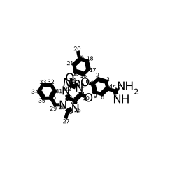 COc1ccc(C(=N)N)cc1Oc1nc(Oc2cccc(C)c2)nc2c1nc(C)n2Cc1ccccc1